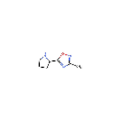 Cc1noc(C2CCCN2)n1